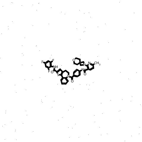 Cc1ccc(C(=O)Nc2ccc(C(=O)N3CCc4cc(C(=O)Nc5c(F)cc(F)cc5F)sc4-c4ccccc43)cc2)c(N2CC3(CCOCC3)C2)n1